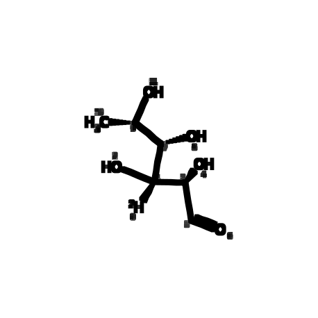 [2H][C@](O)([C@@H](O)C=O)[C@@H](O)[C@H](C)O